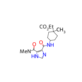 CCOC(=O)C1(C)CCC(NC(=O)c2nc[nH]c2C(=O)NC)CC1